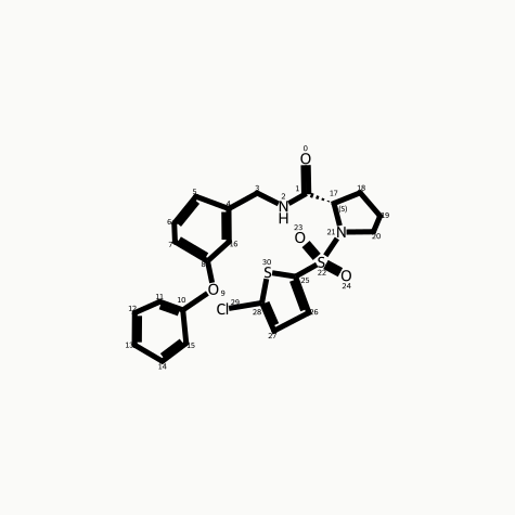 O=C(NCc1cccc(Oc2ccccc2)c1)[C@@H]1CCCN1S(=O)(=O)c1ccc(Cl)s1